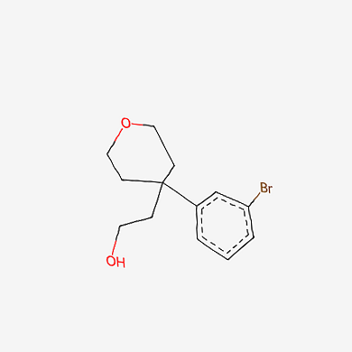 OCCC1(c2cccc(Br)c2)CCOCC1